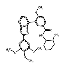 COc1ccc(C(=O)NC2CCCCC2N)cc1-c1ccnc2cc(-c3cc(OC)c(OC)c(OC)c3)oc12